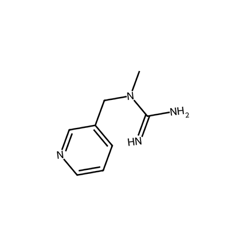 CN(Cc1cccnc1)C(=N)N